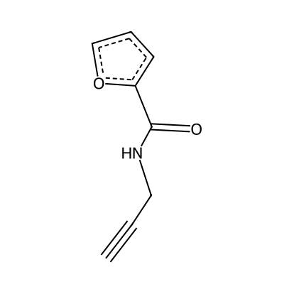 C#CCNC(=O)c1ccco1